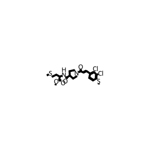 COC(=O)C(CCSC)NC(=O)C1CCN(C(=O)/C=C/c2ccc(SC)c(Cl)c2Cl)CC1